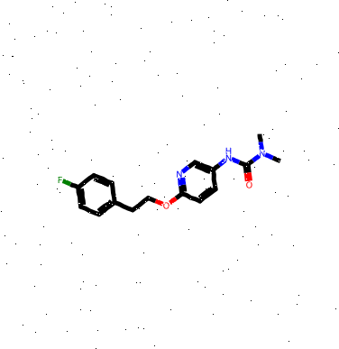 CN(C)C(=O)Nc1ccc(OCCc2ccc(F)cc2)nc1